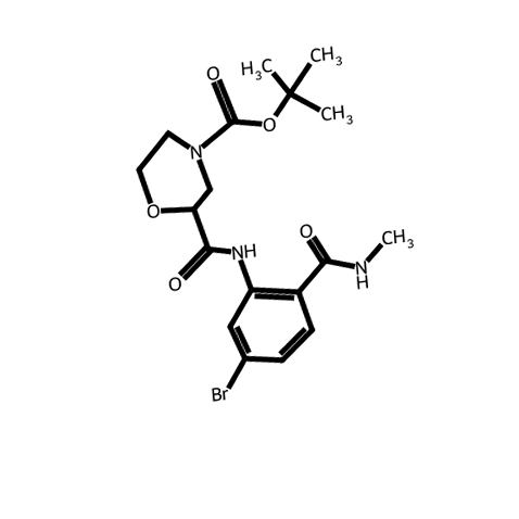 CNC(=O)c1ccc(Br)cc1NC(=O)C1CN(C(=O)OC(C)(C)C)CCO1